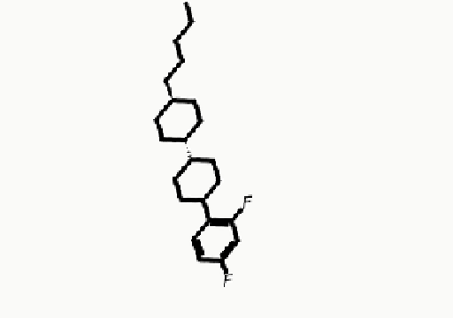 CCCCC[C@H]1CC[C@H](C2CCC(c3ccc(F)cc3F)CC2)CC1